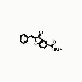 COC(=O)c1ccc2c(c1)C(=O)C(=Cc1ccccc1)O2